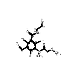 COCC(=O)N(C)c1c(I)c([C]=O)c(I)c(C(=O)NCCBr)c1I